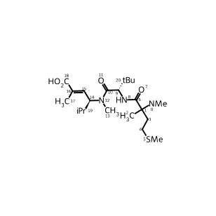 CNC(C)(CCSC)C(=O)N[C@H](C(=O)N(C)[C@H](/C=C(\C)C(=O)O)C(C)C)C(C)(C)C